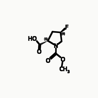 COC(=O)N1C[C@H](F)C[C@H]1C(=O)O